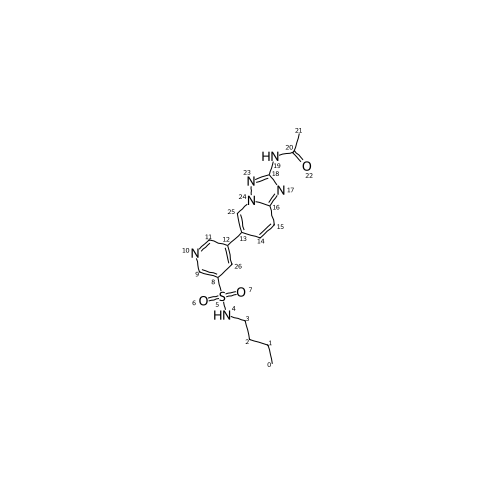 CCCCNS(=O)(=O)c1cncc(-c2ccc3nc(NC(C)=O)nn3c2)c1